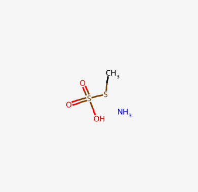 CSS(=O)(=O)O.N